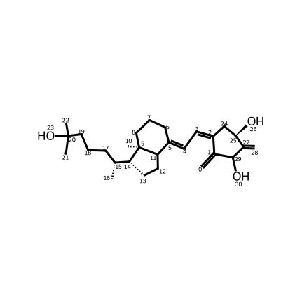 C=C1/C(=C\C=C2/CCC[C@@]3(C)C2CC[C@@H]3[C@H](C)CCCC(C)(C)O)C[C@@H](O)C(=C)C1O